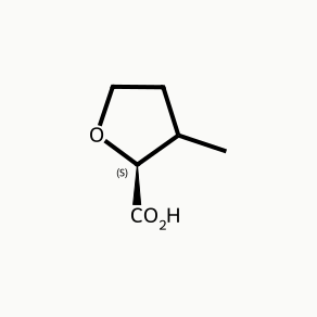 CC1CCO[C@@H]1C(=O)O